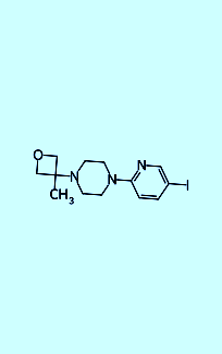 CC1(N2CCN(c3ccc(I)cn3)CC2)COC1